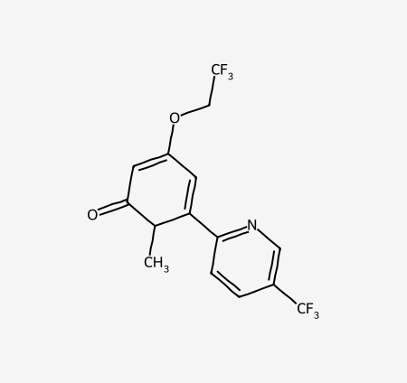 CC1C(=O)C=C(OCC(F)(F)F)C=C1c1ccc(C(F)(F)F)cn1